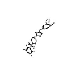 Cc1cc(C)c(C)c(S(=O)(=O)C2CCN(c3nc(Cc4ccc(F)c(Cl)c4)cs3)CC2)c1C